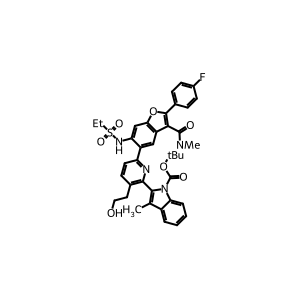 CCS(=O)(=O)Nc1cc2oc(-c3ccc(F)cc3)c(C(=O)NC)c2cc1-c1ccc(CCO)c(-c2c(C)c3ccccc3n2C(=O)OC(C)(C)C)n1